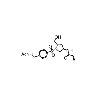 C=CC(=O)NC1CC(CO)N(S(=O)(=O)c2ccc(CNC(C)=O)cc2)C1